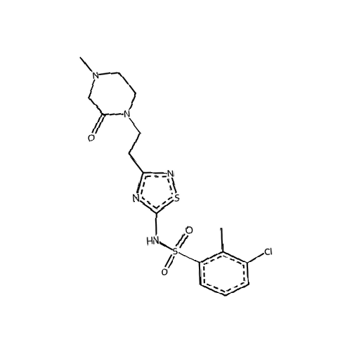 Cc1c(Cl)cccc1S(=O)(=O)Nc1nc(CCN2CCN(C)CC2=O)ns1